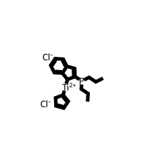 CCCP(CCC)C1=Cc2ccccc2[CH]1[Ti+2][C]1=CC=CC1.[Cl-].[Cl-]